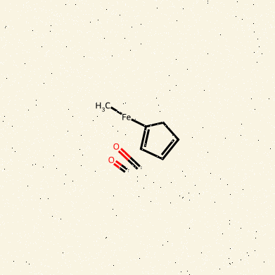 [CH3][Fe][C]1=CC=CC1.[C]=O.[C]=O